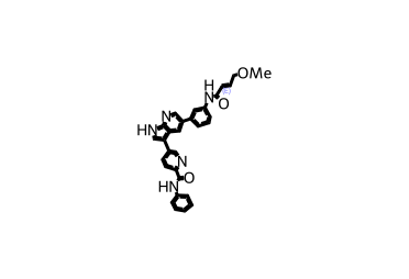 COC/C=C/C(=O)Nc1cccc(-c2cnc3[nH]cc(-c4ccc(C(=O)Nc5ccccc5)nc4)c3c2)c1